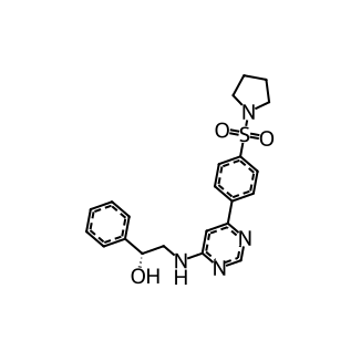 O=S(=O)(c1ccc(-c2cc(NC[C@H](O)c3ccccc3)ncn2)cc1)N1CCCC1